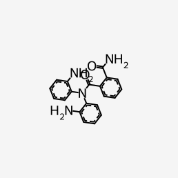 NC(=O)c1ccccc1C(=O)N(c1ccccc1N)c1ccccc1N